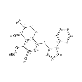 CCCCOc1c2n(c(Cc3cscc3-c3ccccc3)nc1=O)CCN(C(C)C)C2=O